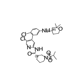 CC(C)S(=O)(=O)N1CCC[C@H](C(=O)Nc2cc(-c3cc(NC[C@@H]4CCOC(C)(C)C4)ccc3Cl)c(Cl)cn2)C1